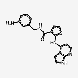 Nc1cccc(CNC(=O)c2ccsc2Nc2ccnc3[nH]ccc23)c1